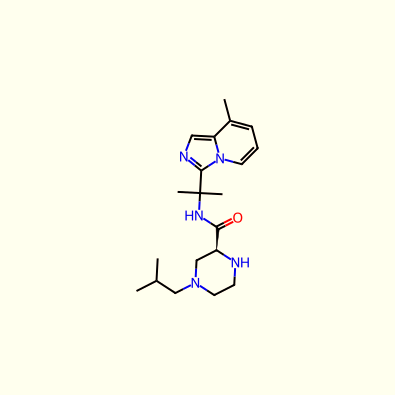 Cc1cccn2c(C(C)(C)NC(=O)[C@@H]3CN(CC(C)C)CCN3)ncc12